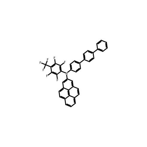 Fc1c(F)c(C(F)(F)F)c(F)c(F)c1N(c1ccc(-c2ccc(-c3ccccc3)cc2)cc1)c1cc2ccc3cccc4ccc(c1)c2c34